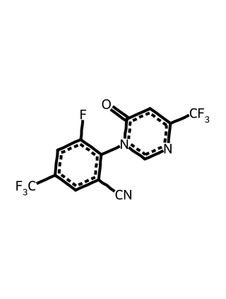 N#Cc1cc(C(F)(F)F)cc(F)c1-n1cnc(C(F)(F)F)cc1=O